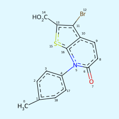 Cc1ccc(-n2c(=O)ccc3c(Br)c(C(=O)O)sc32)cc1